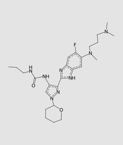 CCCNC(=O)Nc1cn(C2CCCCO2)nc1-c1nc2cc(F)c(N(C)CCCN(C)C)cc2[nH]1